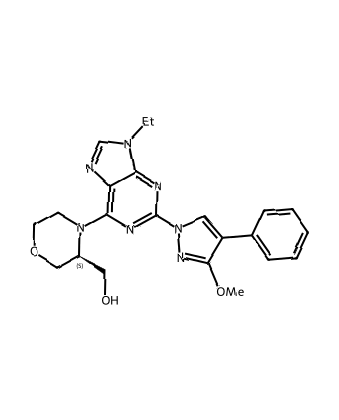 CCn1cnc2c(N3CCOC[C@@H]3CO)nc(-n3cc(-c4ccccc4)c(OC)n3)nc21